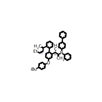 C=C(/C=C\CC)c1ccccc1-c1ccc(Oc2ccc(C(C)CC)cc2)cc1[C@H](C)C(=C)N(c1ccccc1)c1ccc(-c2ccccc2)cc1